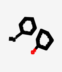 [Mg+][c]1ccccc1.[O-]c1ccccc1